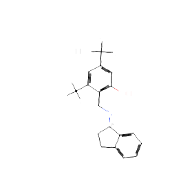 CC(C)(C)c1cc(O)c(CN[C@@H]2CCc3ccccc32)c(C(C)(C)C)c1